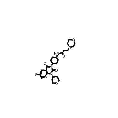 O=C(CCN1CCOCC1)NC1CCC(n2c(=O)c3cc(F)cnc3n(C3CCSCC3)c2=O)CC1